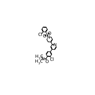 CN(C)C(=O)c1ccc(-c2ccnc(C3=CCN(S(=O)(=O)c4ccccc4Cl)CC3)c2)cc1Cl